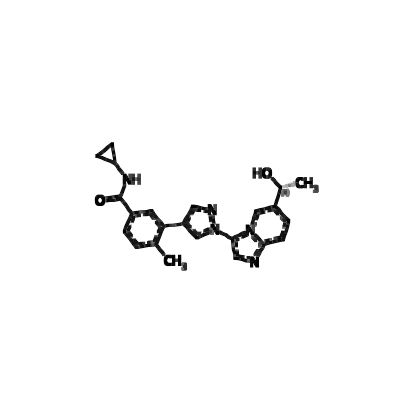 Cc1ccc(C(=O)NC2CC2)cc1-c1cnn(-c2cnc3ccc([C@@H](C)O)cn23)c1